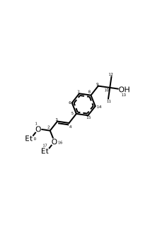 CCOC(C=Cc1ccc(CC(C)(C)O)cc1)OCC